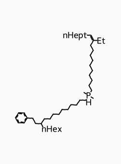 CCCCCCC/C=C(/CC)CCCCCCCCCC[PH](C)(C)CCCCCCCCCCC(CCCCCC)CCc1ccccc1